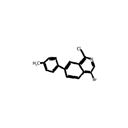 Cc1ccc(-c2ccc3c(Br)cnc(Cl)c3c2)cc1